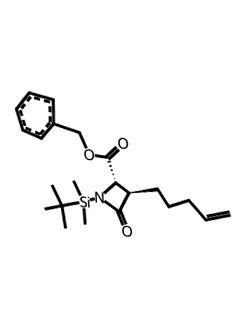 C=CCCC[C@H]1C(=O)N([Si](C)(C)C(C)(C)C)[C@@H]1C(=O)OCc1ccccc1